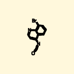 O=C=Nc1ccnc2c(Br)cccc12